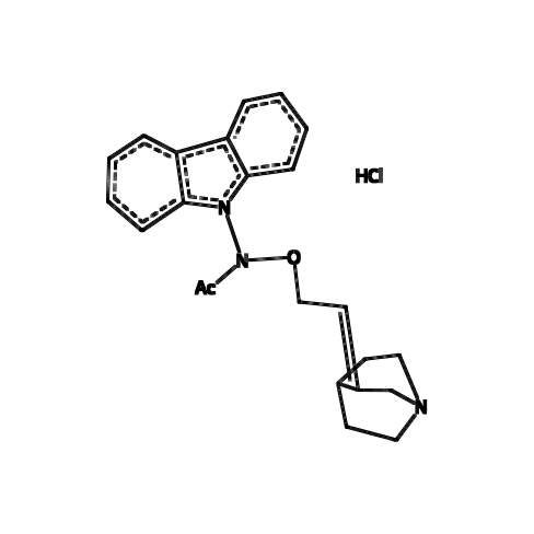 CC(=O)N(OCC=C1CN2CCC1CC2)n1c2ccccc2c2ccccc21.Cl